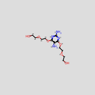 Nc1nc(OCCOCCO)c(N)c(OCCOCCO)n1